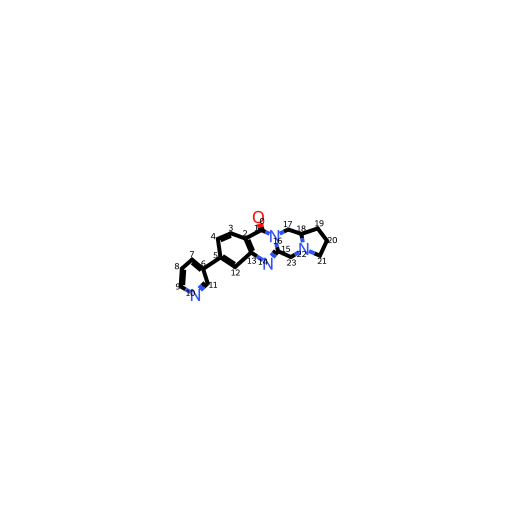 O=c1c2ccc(-c3cccnc3)cc2nc2n1CC1CCCN1C2